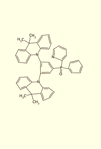 CC1(C)c2ccccc2N(c2cc(N3c4ccccc4C(C)(C)c4ccccc43)cc(P(=O)(c3ccccc3)c3ccccn3)c2)c2ccccc21